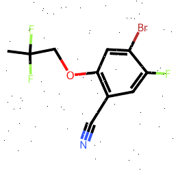 CC(F)(F)COc1cc(Br)c(F)cc1C#N